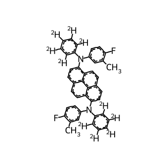 [2H]c1c([2H])c([2H])c(N(c2ccc(F)c(C)c2)c2ccc3ccc4c(N(c5ccc(F)c(C)c5)c5c([2H])c([2H])c([2H])c([2H])c5[2H])ccc5ccc2c3c54)c([2H])c1[2H]